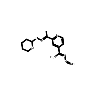 C/C(=N\OC1CCCCO1)c1cc(/C(N)=N/N=N)ccn1